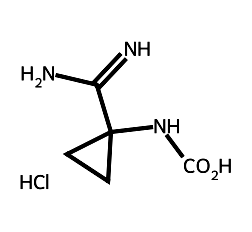 Cl.N=C(N)C1(NC(=O)O)CC1